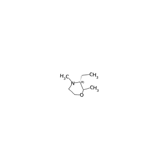 CC[C@@H]1C(C)OCCN1C